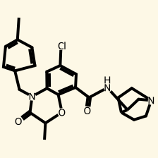 Cc1ccc(CN2C(=O)C(C)Oc3c(C(=O)NC4CN5CCC4CC5)cc(Cl)cc32)cc1